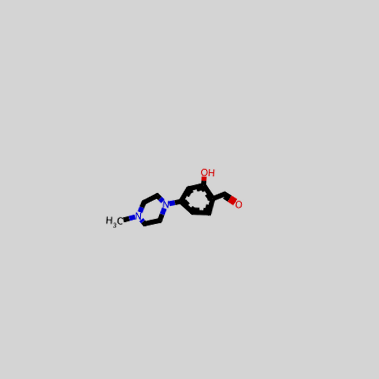 CN1CCN(c2ccc(C=O)c(O)c2)CC1